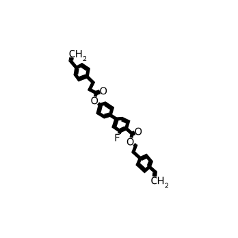 C=Cc1ccc(CCOC(=O)c2ccc(-c3ccc(OC(=O)CCc4ccc(C=C)cc4)cc3)cc2F)cc1